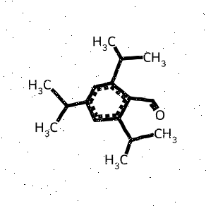 CC(C)c1cc(C(C)C)c(C=O)c(C(C)C)c1